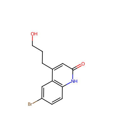 O=c1cc(CCCO)c2cc(Br)ccc2[nH]1